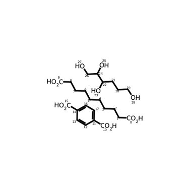 O=C(O)CCCCCCCCC(=O)O.O=C(O)c1ccc(C(=O)O)cc1.OCCCC(O)C(O)CO